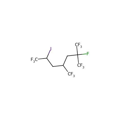 FC(F)(F)C(I)CC(CC(F)(C(F)(F)F)C(F)(F)F)C(F)(F)F